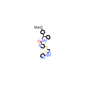 COc1ccc(C(CNC(=O)c2nccc(Sc3cnc(Nc4ccccn4)s3)c2F)c2ccccc2)cc1